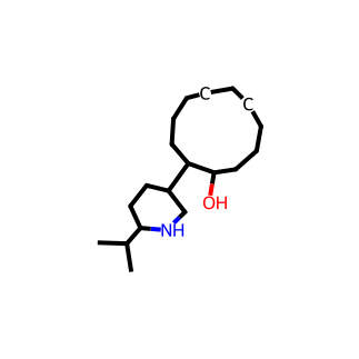 CC(C)C1CCC(C2CCCCCCCCCC2O)CN1